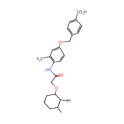 CC(C)C1C(C)CCCC1OCC(=O)Nc1ccc(OCc2ccc(C(=O)O)cc2)cc1C(F)(F)F